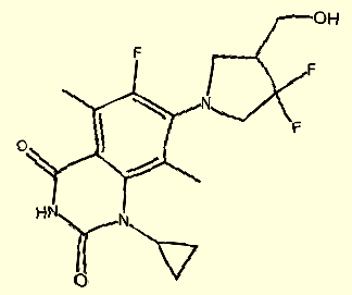 Cc1c(F)c(N2CC(CO)C(F)(F)C2)c(C)c2c1c(=O)[nH]c(=O)n2C1CC1